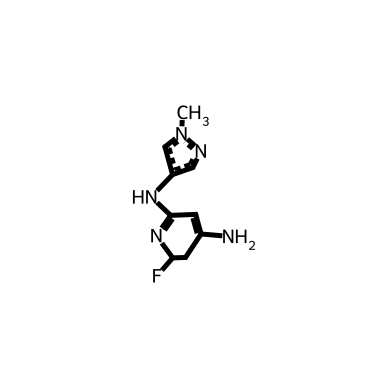 Cn1cc(NC2=NC(F)CC(N)=C2)cn1